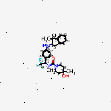 CN(C(=O)N1CCC(C)(O)CC1)C(c1ccc(NC2Cc3ccccc3C2(C)C)cc1)C(F)(F)F